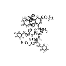 CCOC(=O)c1cc(C(N)CN(CC(=O)OCc2ccccc2)C(=O)[C@H](C)N[C@@H](CCc2ccccc2)C(=O)OCC)c(Oc2ccccc2)c(S(N)(=O)=O)c1